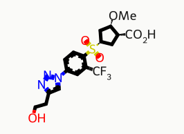 CO[C@H]1C[C@@H](S(=O)(=O)c2ccc(-n3cc(CCO)nn3)cc2C(F)(F)F)C[C@@H]1C(=O)O